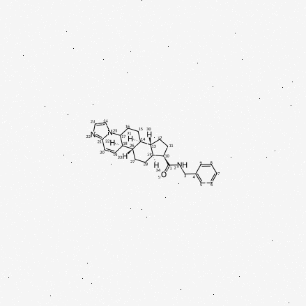 O=C(NCc1ccccc1)[C@@H]1CC[C@H]2[C@@H]3CCC4[C@H](C=Cc5nccn54)[C@H]3CC[C@@H]21